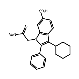 CNC(=O)Cn1c(-c2ccccc2)c(C2CCCCC2)c2ccc(C(=O)O)cc21